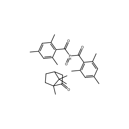 CC12CCC(CC1=O)C2(C)C.Cc1cc(C)c(C(=O)[PH](=O)C(=O)c2c(C)cc(C)cc2C)c(C)c1